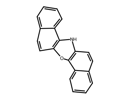 c1ccc2c3c(ccc2c1)Oc1c(ccc2ccccc12)N3